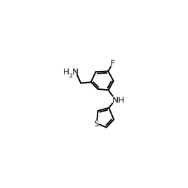 NCc1cc(F)cc(Nc2ccsc2)c1